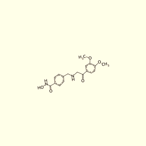 COc1ccc(C(=O)CNCc2ccc(C(=O)NO)cc2)cc1OC